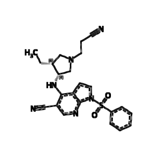 CC[C@@H]1CN(CCC#N)C[C@@H]1Nc1c(C#N)cnc2c1ccn2S(=O)(=O)c1ccccc1